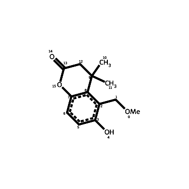 COCc1c(O)ccc2c1C(C)(C)CC(=O)O2